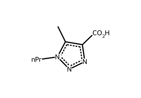 CCCn1nnc(C(=O)O)c1C